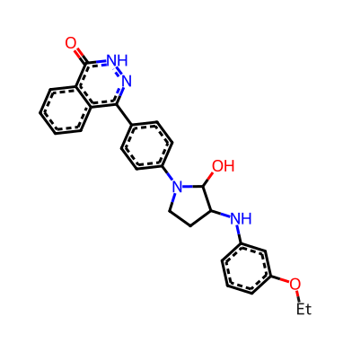 CCOc1cccc(NC2CCN(c3ccc(-c4n[nH]c(=O)c5ccccc45)cc3)C2O)c1